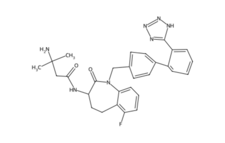 CC(C)(N)CC(=O)NC1CCc2c(F)cccc2N(Cc2ccc(-c3ccccc3-c3nnn[nH]3)cc2)C1=O